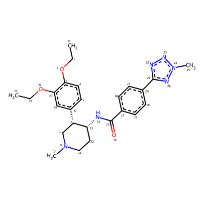 CCOc1ccc([C@H]2CN(C)CC[C@H]2NC(=O)c2ccc(-c3nnn(C)n3)cc2)cc1OCC